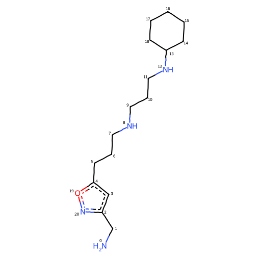 NCc1cc(CCCNCCCNC2CCCCC2)on1